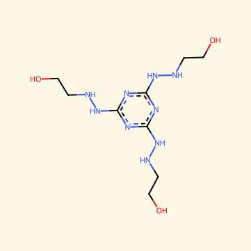 OCCNNc1nc(NNCCO)nc(NNCCO)n1